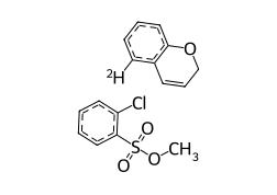 COS(=O)(=O)c1ccccc1Cl.[2H]c1cccc2c1C=CCO2